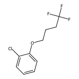 FC(F)(F)CCCOc1ccccc1Cl